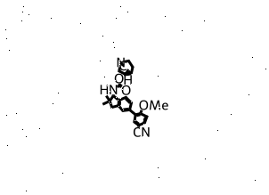 COc1ccc(C#N)cc1-c1ccc2c(c1)CC(C)(C)C2NC(=O)O[C@H]1CN2CCC1CC2